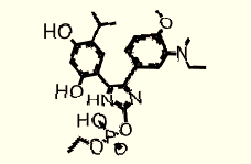 CCOP(=O)(O)Oc1nc(-c2ccc(OC)c(N(C)CC)c2)c(-c2cc(C(C)C)c(O)cc2O)[nH]1